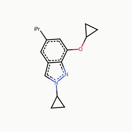 CC(C)c1cc(OC2CC2)c2nn(C3CC3)cc2c1